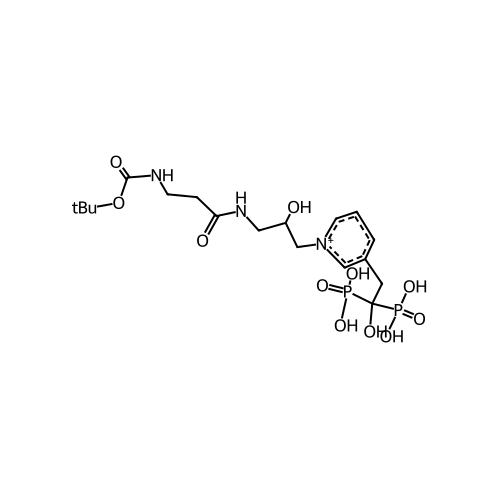 CC(C)(C)OC(=O)NCCC(=O)NCC(O)C[n+]1cccc(CC(O)(P(=O)(O)O)P(=O)(O)O)c1